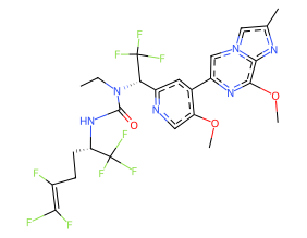 CCN(C(=O)N[C@@H](CCC(F)=C(F)F)C(F)(F)F)[C@@H](c1cc(-c2cn3cc(C)nc3c(OC)n2)c(OC)cn1)C(F)(F)F